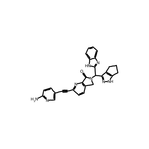 Nc1ccc(C#Cc2ccc3c(n2)C(=O)N(C(c2nc4ccccc4[nH]2)c2n[nH]c4c2CCC4)C3)cn1